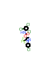 O=C(Nc1c(Cl)cc(Cl)cc1Cl)Oc1cnn(-c2ccc(Cl)cc2)c1C(F)(F)F